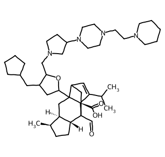 CC(C)C1=CC2CC3(C=O)[C@@H]4CC[C@@H](C)[C@H]4CC2(C2CC(CC4CCCC4)C(CN4CCC(N5CCN(CCN6CCCCC6)CC5)C4)O2)[C@]13C(=O)O